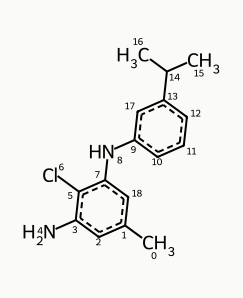 Cc1cc(N)c(Cl)c(Nc2cccc(C(C)C)c2)c1